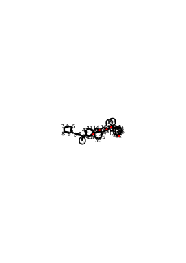 O=C(C#Cc1ccccc1)c1ccc(CCCCC(=O)[C]23[CH]4[CH]5[CH]6[CH]2[Fe]56432789[CH]3[CH]2[CH]7[C]8(C(=O)C#Cc2ccccc2)[CH]39)cc1